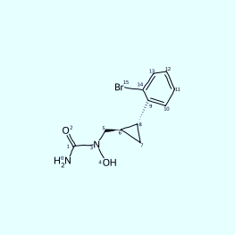 NC(=O)N(O)C[C@@H]1C[C@H]1c1ccccc1Br